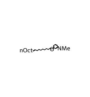 CCCCCCCCC=CCCCCCCCCOc1cccc(NC)c1